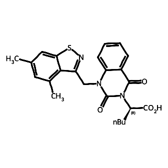 CCCC[C@H](C(=O)O)n1c(=O)c2ccccc2n(Cc2nsc3cc(C)cc(C)c23)c1=O